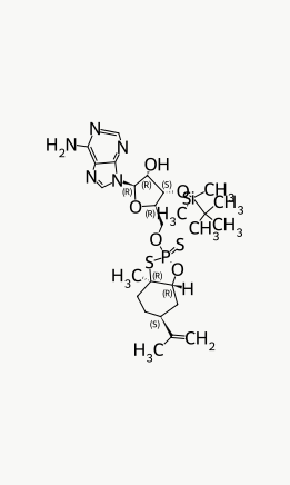 C=C(C)[C@H]1CC[C@@]2(C)SP(=S)(OC[C@H]3O[C@@H](n4cnc5c(N)ncnc54)[C@H](O)[C@@H]3O[Si](C)(C)C(C)(C)C)O[C@@H]2C1